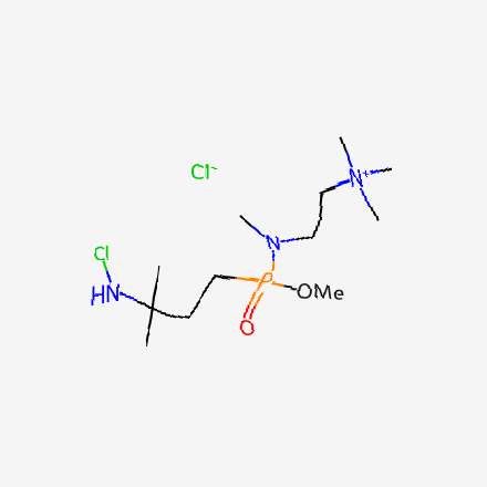 COP(=O)(CCC(C)(C)NCl)N(C)CC[N+](C)(C)C.[Cl-]